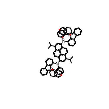 Cc1ccccc1-n1c2ccccc2c2cccc(N(c3cccc4c3CCCC4)c3cc(C(C)C)c4ccc5c(N(c6cccc7c6CCCC7)c6cccc7c8ccccc8n(-c8ccccc8C)c67)cc(C(C)C)c6ccc3c4c65)c21